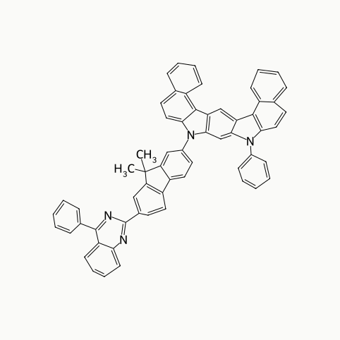 CC1(C)c2cc(-c3nc(-c4ccccc4)c4ccccc4n3)ccc2-c2ccc(-n3c4cc5c(cc4c4c6ccccc6ccc43)c3c4ccccc4ccc3n5-c3ccccc3)cc21